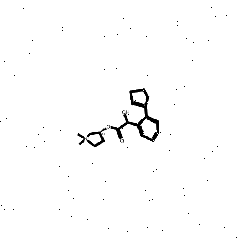 C[N+]1(C)CC[C@H](OC(=O)C(O)c2ccccc2C2=CCCC2)C1